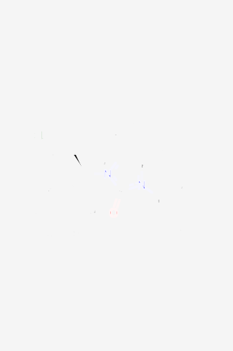 O=c1n(C2CCCC2)c2ccccc2n1[C@H](CCCl)c1ccccc1